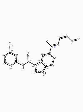 C=N/C=C\C=C(/C)c1ccc2[nH]nc(C(=O)Nc3cc(C(F)(F)F)ccn3)c2c1